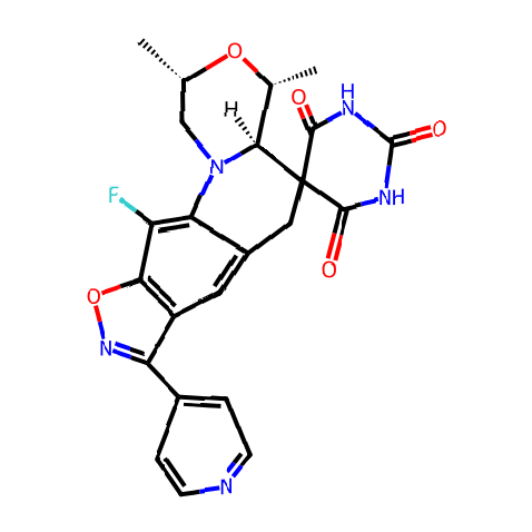 C[C@H]1CN2c3c(cc4c(-c5ccncc5)noc4c3F)CC3(C(=O)NC(=O)NC3=O)[C@@H]2[C@@H](C)O1